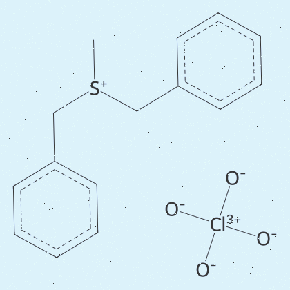 C[S+](Cc1ccccc1)Cc1ccccc1.[O-][Cl+3]([O-])([O-])[O-]